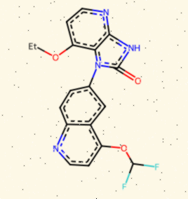 CCOc1ccnc2[nH]c(=O)n(-c3ccc4nccc(OC(F)F)c4c3)c12